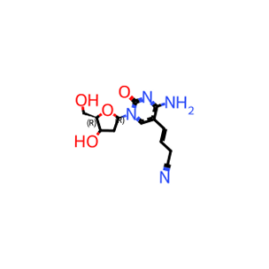 N#CCC=Cc1cn([C@H]2CC(O)[C@@H](CO)O2)c(=O)nc1N